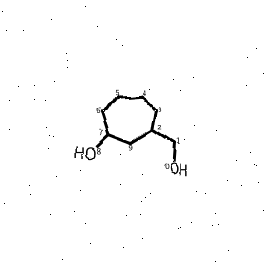 OCC1CCCCC(O)C1